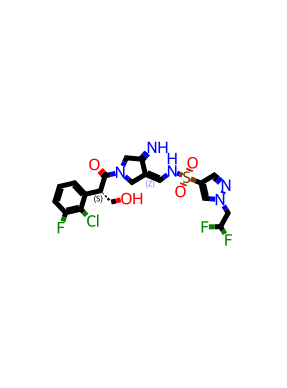 N=C1CN(C(=O)[C@H](CO)c2cccc(F)c2Cl)C/C1=C/NS(=O)(=O)c1cnn(CC(F)F)c1